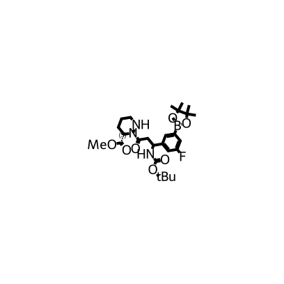 COC(=O)[C@@H]1CCCNN1C(=O)CC(NC(=O)OC(C)(C)C)c1cc(F)cc(B2OC(C)(C)C(C)(C)O2)c1